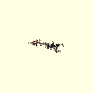 CC1CN([C@]2(C(=O)O)CN3C(=O)C(NC(=O)/C(=N\OC(C)(C)C(=O)O)c4csc(N)n4)[C@H]3S2)C(=O)N1/N=C/C=N/NC(=O)NCCNC(=O)c1ccc(O)c(O)c1Cl